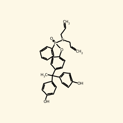 C=CCN(CC=C)P(=O)(Oc1ccc(C(C)(c2ccc(O)cc2)c2ccc(O)cc2)cc1)c1ccccc1